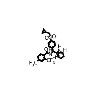 O=C(NC(c1ccc(S(=O)(=O)CC2CC2)cc1)C1N[C@@H]2CC[C@H]1C2)c1ccc(C(F)(F)F)cc1C(F)(F)F